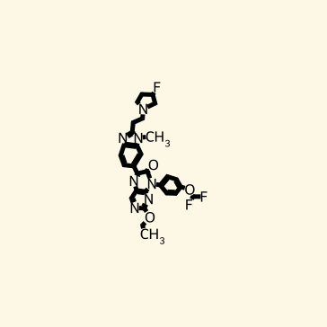 CCOc1ncc2nc(-c3ccc4nc(CCN5CCC(F)C5)n(C)c4c3)c(=O)n(-c3ccc(OC(F)F)cc3)c2n1